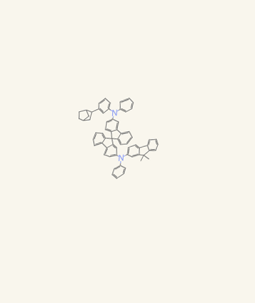 CC1(C)c2ccccc2-c2ccc(N(c3ccccc3)c3ccc4c(c3)C3(c5ccccc5-c5cc(N(c6ccccc6)c6cccc(C7CC8CCC7C8)c6)ccc53)c3ccccc3-4)cc21